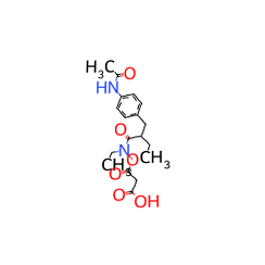 CCC(Cc1ccc(NC(C)=O)cc1)C(=O)N(CC)OC(=O)CC(=O)O